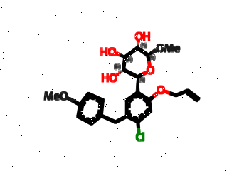 C=CCOc1cc(Cl)c(Cc2ccc(OC)cc2)cc1[C@@H]1O[C@H](OC)[C@@H](O)[C@H](O)[C@H]1O